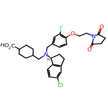 O=C(O)C1CCC(CN(Cc2ccc(OCCN3C(=O)CCC3=O)c(F)c2)[C@H]2CCc3cc(Cl)ccc32)CC1